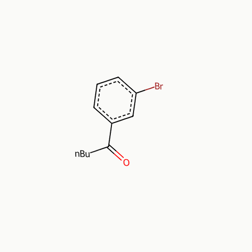 CCCCC(=O)c1cccc(Br)c1